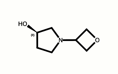 O[C@@H]1CCN(C2COC2)C1